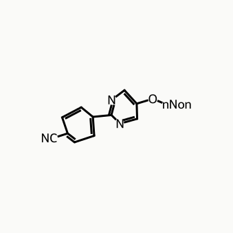 CCCCCCCCCOc1cnc(-c2ccc(C#N)cc2)nc1